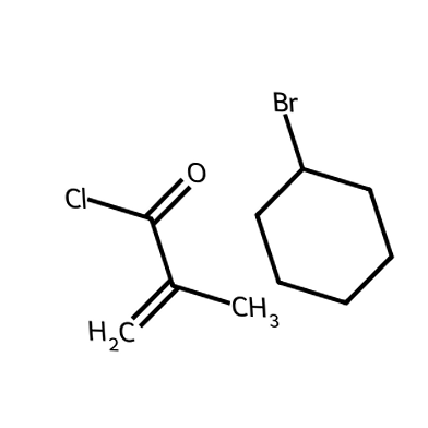 BrC1CCCCC1.C=C(C)C(=O)Cl